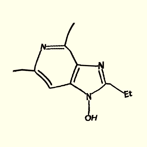 CCc1nc2c(C)nc(C)cc2n1O